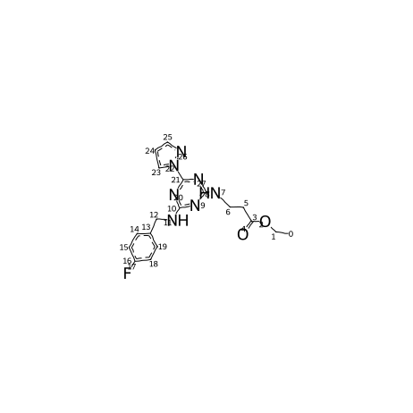 CCOC(=O)CCNc1nc(NCc2ccc(F)cc2)nc(-n2cccn2)n1